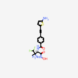 CC(N)(C(F)F)[C@H](NC(=O)c1ccc(C#Cc2ccc(N)s2)cc1)C(=O)NO